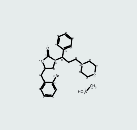 CS(=O)(=O)O.O=C1OC(Cc2ccccc2Br)CN1C(CCN1CCSCC1)c1ccccc1